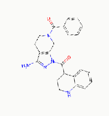 Nc1nn(C(=O)C2CCNc3ccccc32)c2c1CCN(C(=O)c1ccccc1)C2